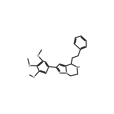 COc1cc(-c2cc3n(n2)CCNC3CCc2ccccc2)cc(OC)c1OC